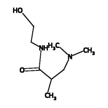 CC(CN(C)C)C(=O)NCCO